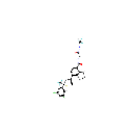 O=C(CNC(=O)c1ccc(C2=CSC(c3cc(Cl)cc(Cl)c3)(C(F)(F)F)C2)c2c1CCC2)NCC(F)(F)F